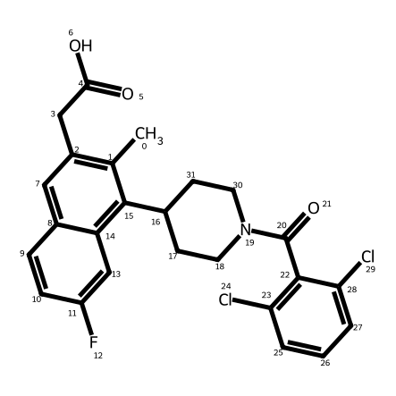 Cc1c(CC(=O)O)cc2ccc(F)cc2c1C1CCN(C(=O)c2c(Cl)cccc2Cl)CC1